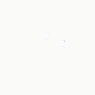 Cc1n[nH]c(C)c1-c1cc(N2CCOC[C@H]2C)nc2ccnn12